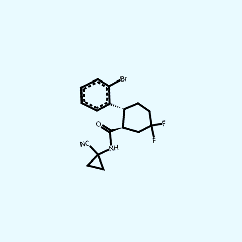 N#CC1(NC(=O)[C@@H]2CC(F)(F)CC[C@H]2c2ccccc2Br)CC1